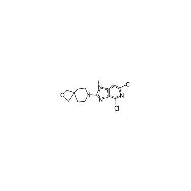 Cn1c(N2CCC3(CC2)COC3)nc2c(Cl)nc(Cl)cc21